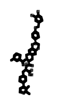 Cc1cccc(C(=O)N2Cc3cc4c(cc3C[C@H]2C(=O)NC(Cc2ccc(-c3ccnc(C)c3C)cc2)C(=O)O)OC[C@H](c2ccc(OCc3ccc(Cl)c(Cl)c3)cc2)O4)c1